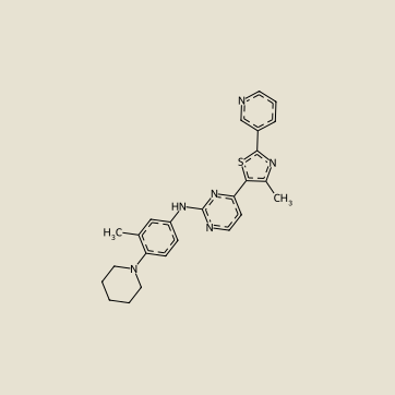 Cc1cc(Nc2nccc(-c3sc(-c4cccnc4)nc3C)n2)ccc1N1CCCCC1